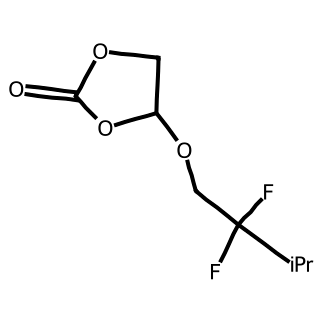 CC(C)C(F)(F)COC1COC(=O)O1